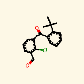 CC(C)(C)c1ccccc1C(=O)c1cccc([C]=O)c1Cl